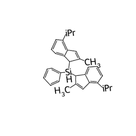 CC1=Cc2c(C(C)C)cccc2C1[SiH](c1ccccc1)C1C(C)=Cc2c(C(C)C)cccc21